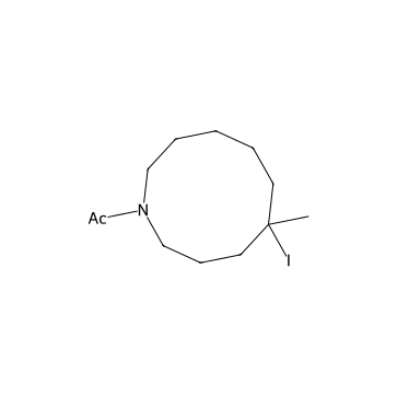 CC(=O)N1CCCCCC(C)(I)CCC1